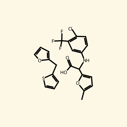 Cc1ccc(C(Nc2ccc(Cl)c(C(F)(F)F)c2)C(=O)O)o1.c1coc(Cc2cccs2)c1